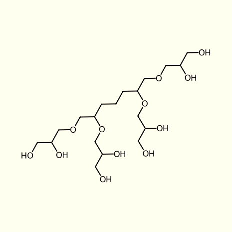 OCC(O)COCC(CCCC(COCC(O)CO)OCC(O)CO)OCC(O)CO